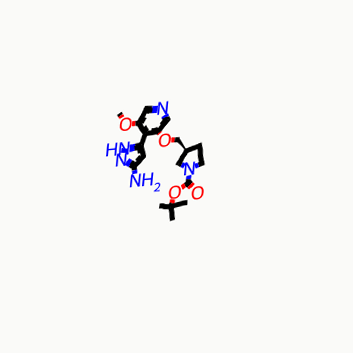 COc1cncc(OC[C@H]2CCN(C(=O)OC(C)(C)C)C2)c1-c1cc(N)n[nH]1